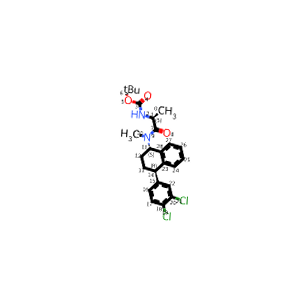 C[C@H](NC(=O)OC(C)(C)C)C(=O)N(C)[C@H]1CC[C@H](c2ccc(Cl)c(Cl)c2)c2ccccc21